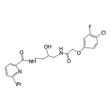 CC(C)c1cccc(C(=O)NCCC(O)CNC(=O)COc2ccc(Cl)c(F)c2)n1